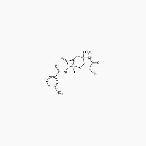 CCCCSC(=O)NC1(C(=O)O)CS[C@@H]2C(NC(=O)c3cccc([N+](=O)[O-])c3)C(=O)N2C1